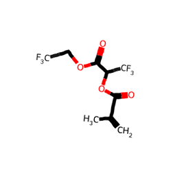 C=C(C)C(=O)OC(C(=O)OCC(F)(F)F)C(F)(F)F